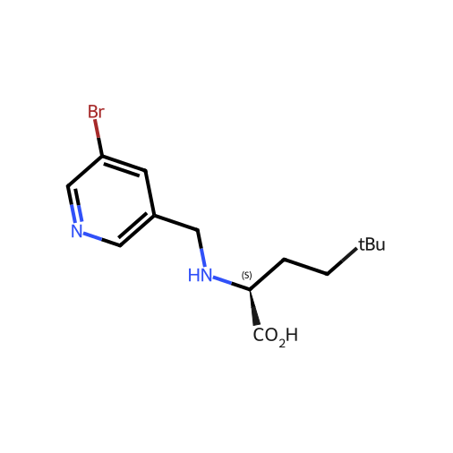 CC(C)(C)CC[C@H](NCc1cncc(Br)c1)C(=O)O